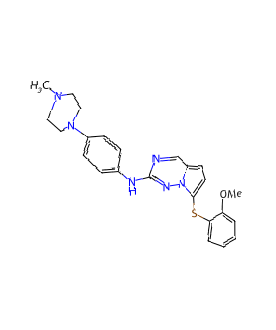 COc1ccccc1Sc1ccc2cnc(Nc3ccc(N4CCN(C)CC4)cc3)nn12